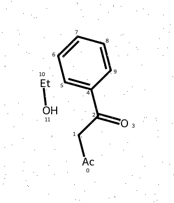 CC(=O)CC(=O)c1ccccc1.CCO